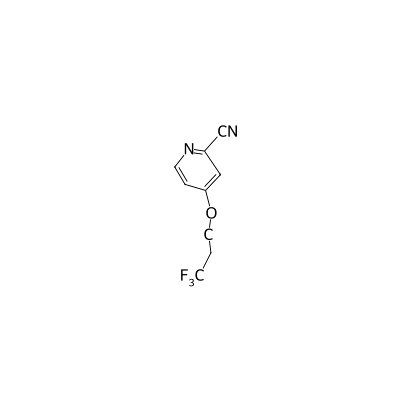 N#Cc1cc(OCCC(F)(F)F)ccn1